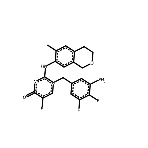 Cc1cc2c(cc1Nc1nc(=O)c(F)cn1Cc1cc(F)c(F)c(P)c1)COCC2